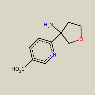 NC1(c2ccc(C(=O)O)cn2)CCOC1